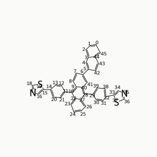 c1ccc2cc(-c3ccc4c(-c5ccc(-c6cncs6)cc5)c5ccccc5c(-c5ccc(-c6cncs6)cc5)c4c3)ccc2c1